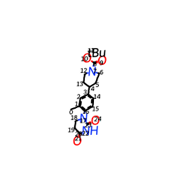 Cc1cc(C2CCN(C(=O)OC(C)(C)C)CC2)ccc1N1CCC(=O)NC1=O